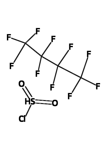 FC(F)(F)C(F)(F)C(F)(F)C(F)(F)F.O=[SH](=O)Cl